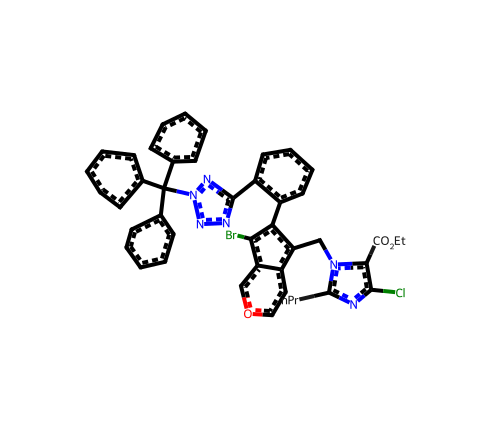 CCCc1nc(Cl)c(C(=O)OCC)n1Cc1c2ccocc-2c(Br)c1-c1ccccc1-c1nnn(C(c2ccccc2)(c2ccccc2)c2ccccc2)n1